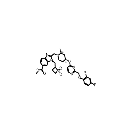 COC(=O)c1ccc2nc(CN3CC[C@H](Oc4ccnc(COc5ccc(F)cc5F)n4)C[C@@H]3C)n(CC3CCS3(=O)=O)c2c1